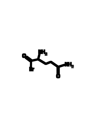 NC(=O)CCC(N)C(=O)Br